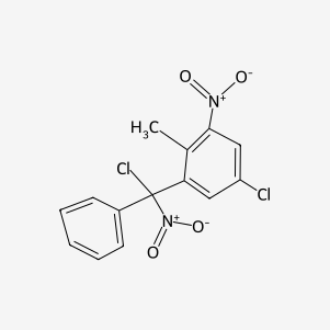 Cc1c([N+](=O)[O-])cc(Cl)cc1C(Cl)(c1ccccc1)[N+](=O)[O-]